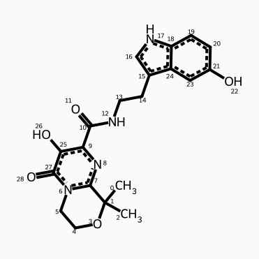 CC1(C)OCCn2c1nc(C(=O)NCCc1c[nH]c3ccc(O)cc13)c(O)c2=O